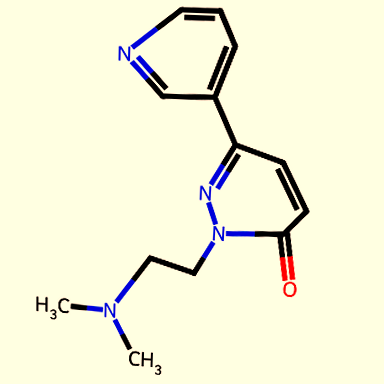 CN(C)CCn1nc(-c2cccnc2)ccc1=O